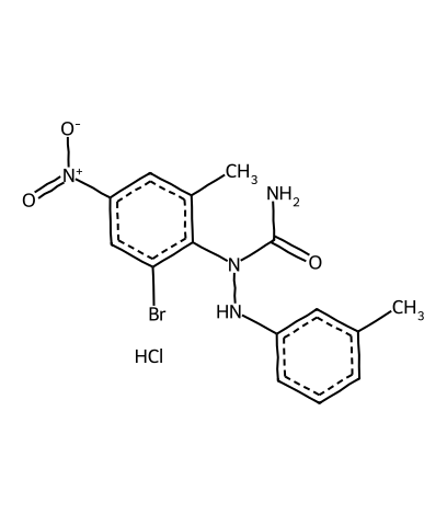 Cc1cccc(NN(C(N)=O)c2c(C)cc([N+](=O)[O-])cc2Br)c1.Cl